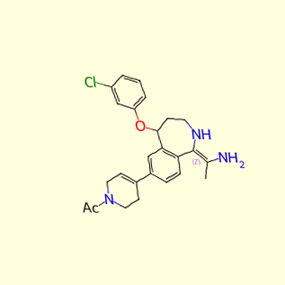 CC(=O)N1CC=C(c2ccc3c(c2)C(Oc2cccc(Cl)c2)CCN/C3=C(/C)N)CC1